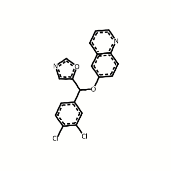 Clc1ccc(C(Oc2ccc3ncccc3c2)c2cnco2)cc1Cl